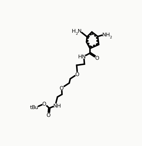 CC(C)(C)OC(=O)NCCOCCOCCNC(=O)c1cc(N)cc(N)c1